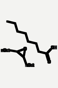 CCCCCCCC(=O)O.CCCCCCCCC1OC1CCCCCCCC